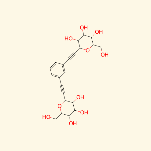 OCC1OC(C#Cc2cccc(C#CC3OC(CO)[C@@H](O)C(O)C3O)c2)C(O)C(O)[C@@H]1O